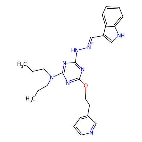 CCCN(CCC)c1nc(N/N=C/c2c[nH]c3ccccc23)nc(OCCc2cccnc2)n1